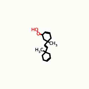 CC1(/C=C/C2(C)CC=CC(OO)C2)CC=CCC1